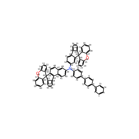 c1ccc(-c2ccc(-c3ccc(N(c4ccc5c(c4)C4(c6ccccc6Oc6ccccc64)c4ccccc4-5)c4ccc5c6c(ccc5c4)C4(c5ccccc5Oc5ccccc54)c4ccccc4-6)cc3)cc2)cc1